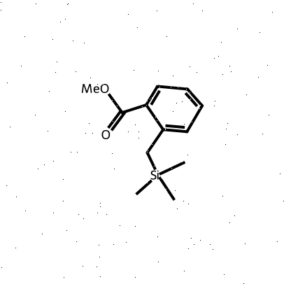 COC(=O)c1ccccc1C[Si](C)(C)C